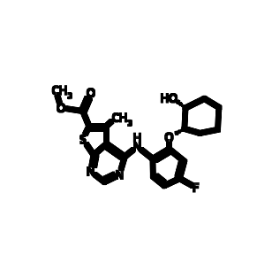 COC(=O)c1sc2ncnc(Nc3ccc(F)cc3O[C@H]3CCCC[C@H]3O)c2c1C